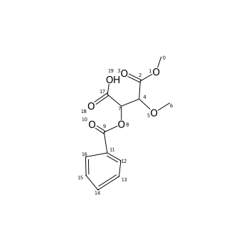 COC(=O)C(OC)C(OC(=O)c1ccccc1)C(=O)O